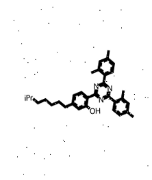 Cc1ccc(-c2nc(-c3ccc(C)cc3C)nc(-c3ccc(CCCCCC(C)C)cc3O)n2)c(C)c1